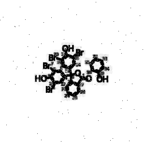 O=C1OC(c2cc(Br)c(O)c(Br)c2)(c2cc(Br)c(O)c(Br)c2)c2ccccc21.Oc1ccccc1